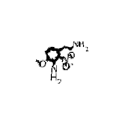 COc1ccc(CCN)c([N+](=O)[O-])c1N